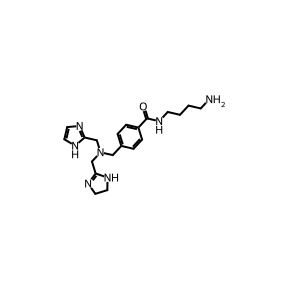 NCCCCNC(=O)c1ccc(CN(CC2=NCCN2)Cc2ncc[nH]2)cc1